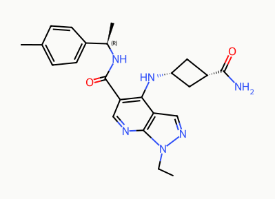 CCn1ncc2c(N[C@H]3C[C@@H](C(N)=O)C3)c(C(=O)N[C@H](C)c3ccc(C)cc3)cnc21